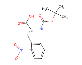 CC(C)(C)OC(=O)N[C@H](Cc1ccccc1[N+](=O)[O-])C(=O)O